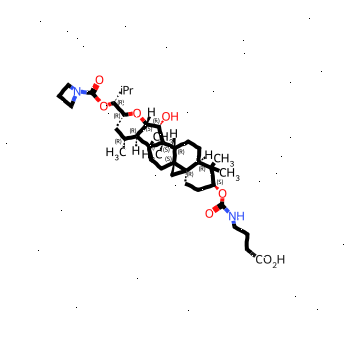 CC(C)[C@@H](OC(=O)N1CCC1)[C@H]1C[C@@H](C)[C@H]2[C@H](O1)[C@H](O)[C@@]1(C)[C@@H]3CC[C@H]4C(C)(C)[C@@H](OC(=O)NCCCC(=O)O)CC[C@@]45C[C@@]35CC[C@]21C